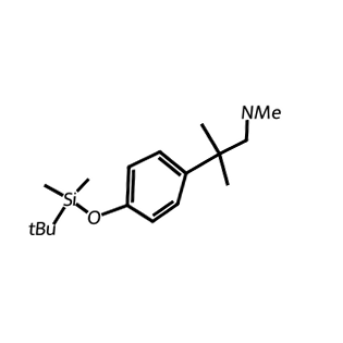 CNCC(C)(C)c1ccc(O[Si](C)(C)C(C)(C)C)cc1